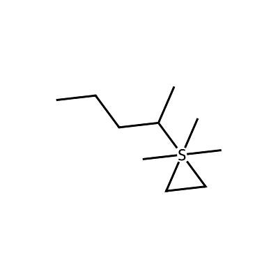 CCCC(C)S1(C)(C)(C)CC1